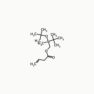 C=CCC(=O)OC[Si](C)(OC(C)(C)C)C(C)(C)C